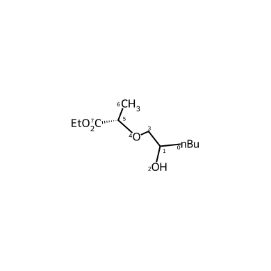 CCCCC(O)CO[C@@H](C)C(=O)OCC